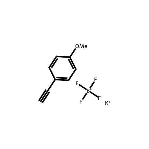 F[B-](F)(F)F.[C]#Cc1ccc(OC)cc1.[K+]